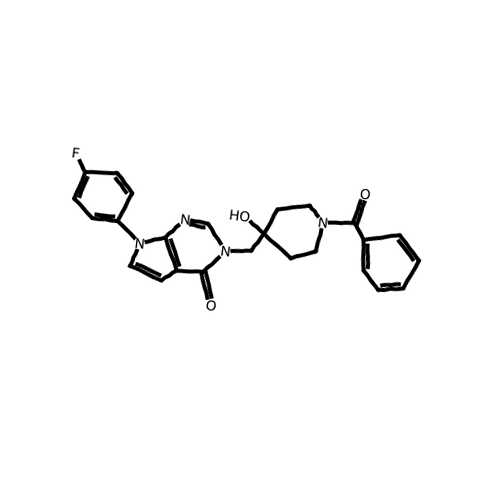 O=C(c1ccccc1)N1CCC(O)(Cn2cnc3c(ccn3-c3ccc(F)cc3)c2=O)CC1